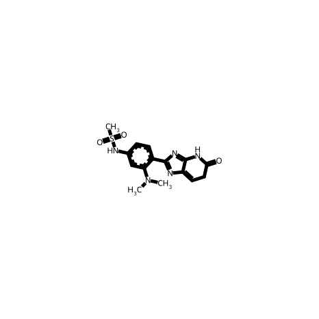 CN(C)c1cc(NS(C)(=O)=O)ccc1C1=NC2=CCC(=O)NC2=N1